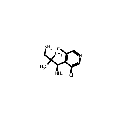 CC(C)(CN)C(N)c1c(Cl)cncc1Cl